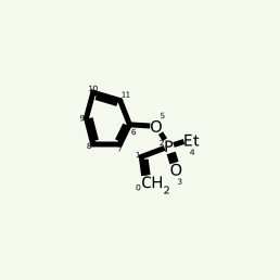 C=CP(=O)(CC)Oc1ccccc1